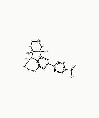 CC(=O)c1ccc(-c2cc3c4c(c2)[C@H]2CNCC[C@H]2N4CCCS3)cc1